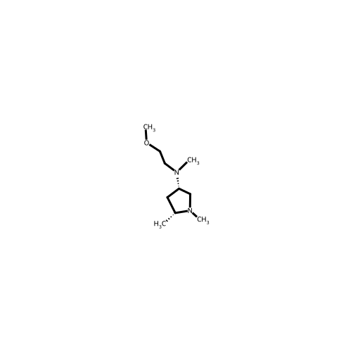 COCCN(C)[C@H]1C[C@@H](C)N(C)C1